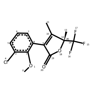 COc1c(Cl)cccc1C1=C(C)[C@](C)(C(F)(F)F)OC1=O